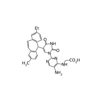 CCc1ccc2c(c1)C=Cc1cc(C)ccc1C2c1cn(-c2ncc(N)c(NCC(=O)O)n2)c(=O)[nH]c1=O